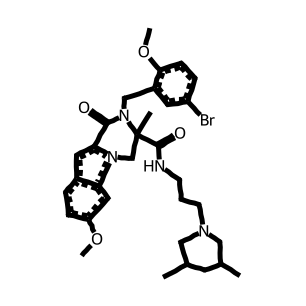 COc1ccc2cc3n(c2c1)CC(C)(C(=O)NCCCN1CC(C)CC(C)C1)N(Cc1cc(Br)ccc1OC)C3=O